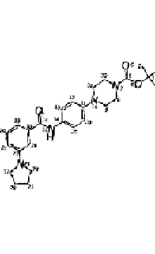 CC(C)(C)OC(=O)N1CCN(c2ccc(NC(=O)c3cccc(N4CCCC4)c3)cc2)CC1